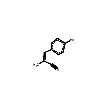 C/C(C#N)=C/c1ccc(C)cc1